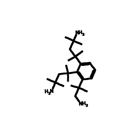 CC(C)(N)CC(C)(C)c1cccc(C(C)(C)CN)c1C(C)(C)CC(C)(C)N